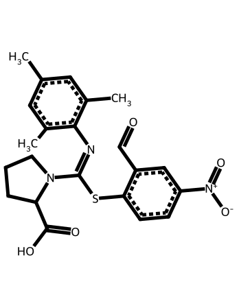 Cc1cc(C)c(/N=C(/Sc2ccc([N+](=O)[O-])cc2C=O)N2CCCC2C(=O)O)c(C)c1